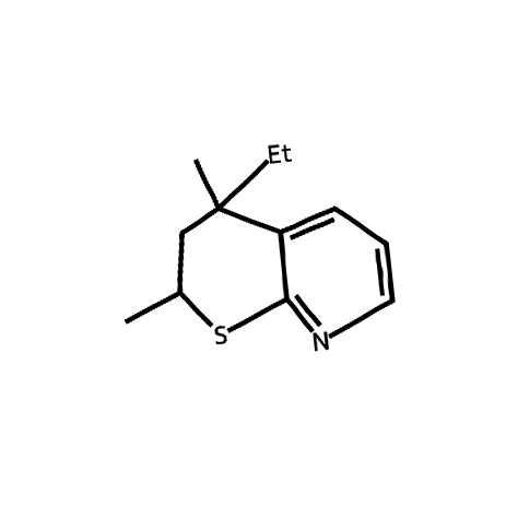 CCC1(C)CC(C)Sc2ncccc21